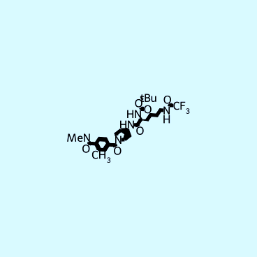 CNC(=O)c1ccc(C(=O)N2CC3CC2CC3NC(=O)[C@H](CCCCNC(=O)C(F)(F)F)NC(=O)OC(C)(C)C)cc1C